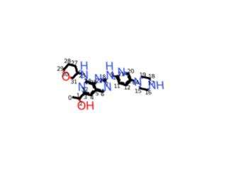 CC(O)c1cc2cnc(Nc3ccc(N4CCNCC4)cn3)nc2c(NC2CCCOC2)n1